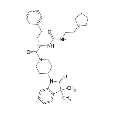 CC1(C)C(=O)N(C2CCN(C(=O)[C@H](CCc3ccccc3)NC(=O)NCCN3CCCC3)CC2)c2ccccc21